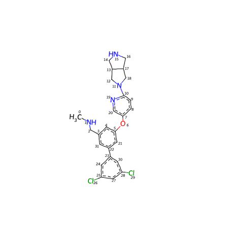 CNCc1cc(Oc2ccc(N3CC4CNCC4C3)nc2)cc(-c2cc(Cl)cc(Cl)c2)c1